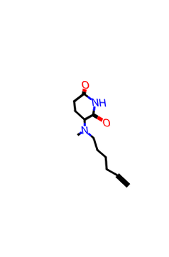 C#CCCCCN(C)C1CCC(=O)NC1=O